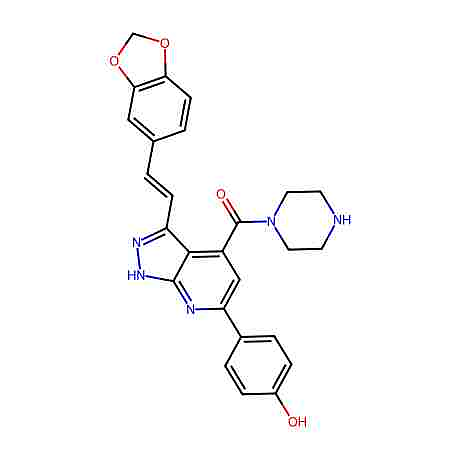 O=C(c1cc(-c2ccc(O)cc2)nc2[nH]nc(/C=C/c3ccc4c(c3)OCO4)c12)N1CCNCC1